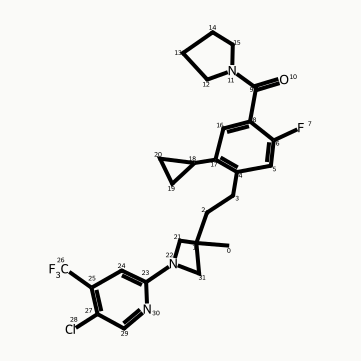 CC1(CCc2cc(F)c(C(=O)N3CCCC3)cc2C2CC2)CN(c2cc(C(F)(F)F)c(Cl)cn2)C1